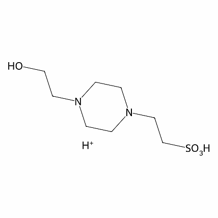 O=S(=O)(O)CCN1CCN(CCO)CC1.[H+]